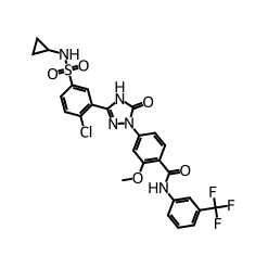 COc1cc(-n2nc(-c3cc(S(=O)(=O)NC4CC4)ccc3Cl)[nH]c2=O)ccc1C(=O)Nc1cccc(C(F)(F)F)c1